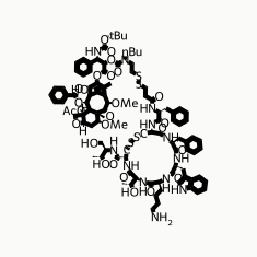 CCCCN(CCSSCCC(=O)N[C@H](Cc1ccccc1)C(=O)N[C@H]1CSSC[C@@H](C(=O)N[C@H](CO)[C@@H](C)O)NC(=O)[C@H]([C@@H](C)O)NC(=O)[C@H](CCCCN)NC(=O)[C@@H](Cc2c[nH]c3ccccc23)NC(=O)[C@H](Cc2ccccc2)NC1=O)C(=O)OC(C(=O)OC1C[C@@]2(O)[C@@H](OC(=O)c3ccccc3)[C@@H]3[C@]4(OC(C)=O)CO[C@@H]4C[C@H](OC)[C@@]3(C)C(=O)[C@H](OC)C(=C1C)C2(C)C)[C@@H](NC(=O)OC(C)(C)C)c1ccccc1